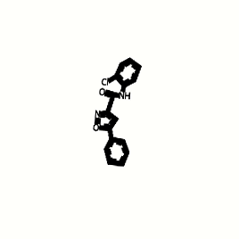 O=C(Nc1ccccc1Cl)c1cc(-c2ccccc2)on1